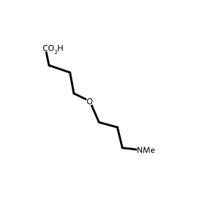 CNCCCOCCCC(=O)O